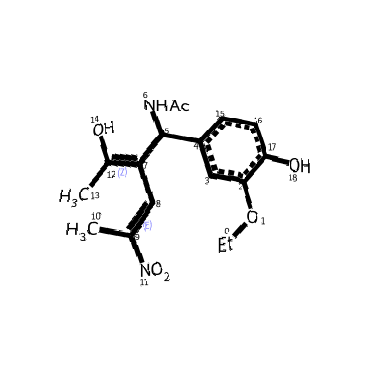 CCOc1cc(C(NC(C)=O)C(/C=C(\C)[N+](=O)[O-])=C(/C)O)ccc1O